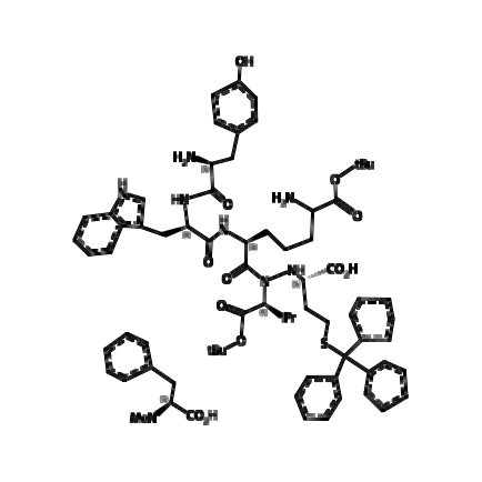 CC(C)[C@@H](C(=O)OC(C)(C)C)N(N[C@@H](CCSC(c1ccccc1)(c1ccccc1)c1ccccc1)C(=O)O)C(=O)[C@H](CCCC(N)C(=O)OC(C)(C)C)NC(=O)[C@@H](Cc1c[nH]c2ccccc12)NC(=O)[C@@H](N)Cc1ccc(O)cc1.CN[C@@H](Cc1ccccc1)C(=O)O